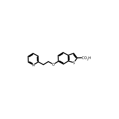 O=C(O)c1cc2ccc(OCCc3ccccn3)cc2s1